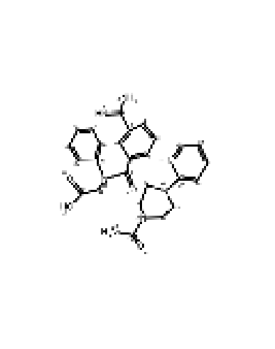 N=C(N)c1cccc(C(=O)N(CC(=O)O)c2ccccc2)c1.NC(=O)N1CCN(c2ccccn2)CC1